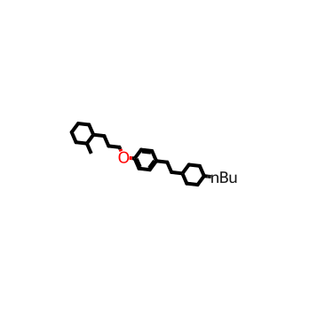 CCCCC1CCC(CCc2ccc(OCCCC3CCCCC3C)cc2)CC1